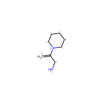 C=C(C[NH])N1CCCCC1